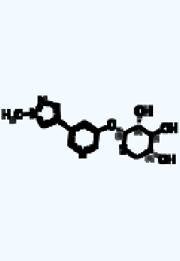 Cn1cc(-c2cncc(O[C@H]3SC[C@@H](O)[C@H](O)[C@H]3O)c2)cn1